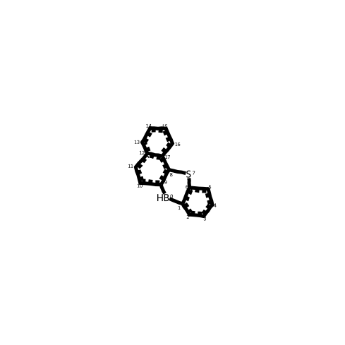 B1c2ccccc2Sc2c1ccc1ccccc21